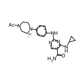 CC(=O)N1CCN(c2ccc(Nc3ncc(C(N)=O)c(NC4CC4)n3)cc2)[C@H](C)C1